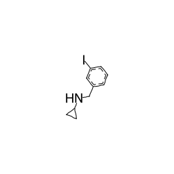 Ic1cccc(CNC2CC2)c1